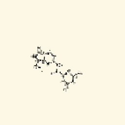 CC(Oc1ccc2[nH]nc(N)c2c1)c1cc(F)cc(F)c1